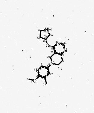 COc1ncc(N2CCc3ncnc(O[C@H]4CCNC4)c3C2)cc1C